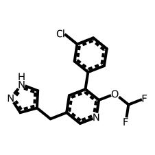 FC(F)Oc1ncc(Cc2cn[nH]c2)cc1-c1cccc(Cl)c1